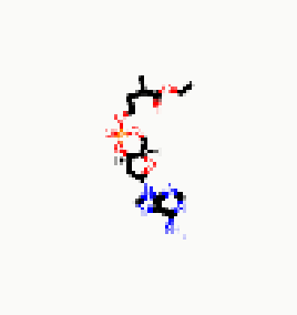 CCOC(=O)C(C)CCO[P@@]1(=O)OC[C@@H]2O[C@H](n3cnc4c(N)ncnc43)C[C@H]2O1